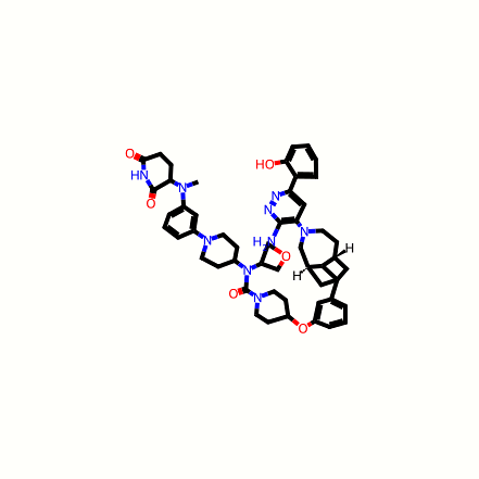 CN(c1cccc(N2CCC(N(C(=O)N3CCC(Oc4cccc(C56C[C@H]7CCN(c8cc(-c9ccccc9O)nnc8N)C[C@H](C5)C76)c4)CC3)C3COC3)CC2)c1)C1CCC(=O)NC1=O